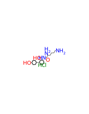 Cl.NCCCC[C@H](N)C(=O)Nc1cccc(-c2ccc(O)cc2)c1O